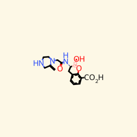 C=C1CNCCN1CC(=O)N[C@H]1Cc2cccc(C(=O)O)c2OB1O